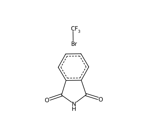 FC(F)(F)Br.O=C1NC(=O)c2ccccc21